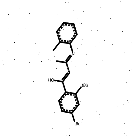 CC(/C=C(\O)c1ccc(C(C)(C)C)cc1C(C)(C)C)=N\c1ccccc1C